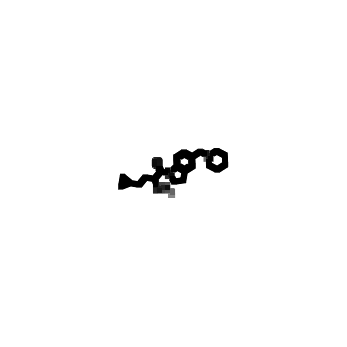 NC(CCC1CC1)C(=O)N1CCc2cc(CN3CCCCC3)ccc21